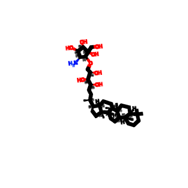 C[C@H](CC[C@@H](O)[C@@H](O)[C@@H](O)CO[C@H]1[C@H](N)[C@@H](O)[C@H](O)[C@]1(O)CO)[C@H]1CC[C@]2(C)[C@H]3CC[C@@H]4[C@@]5(C)CCCC(C)(C)[C@@H]5CC[C@@]4(C)[C@]3(C)CC[C@@H]12